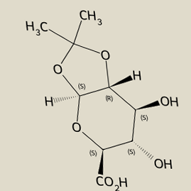 CC1(C)O[C@@H]2O[C@H](C(=O)O)[C@@H](O)[C@H](O)[C@H]2O1